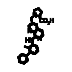 Cc1c(Nc2nccc3cc(CN4CCC[C@H]4C(=O)O)cnc23)cccc1-c1ccccc1